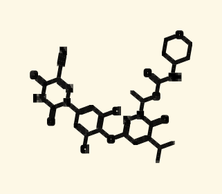 CC(C)c1cc(Oc2c(Cl)cc(-n3nc(C#N)c(=O)[nH]c3=O)cc2Cl)nn(C(C)OC(=O)NC2CCOCC2)c1=O